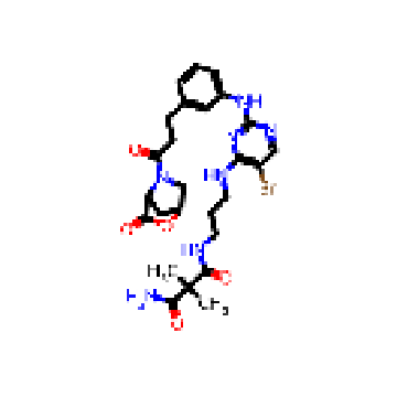 CC(C)(C(N)=O)C(=O)NCCCNc1nc(Nc2cccc(CCC(=O)N3CC4CC3C(=O)O4)c2)ncc1Br